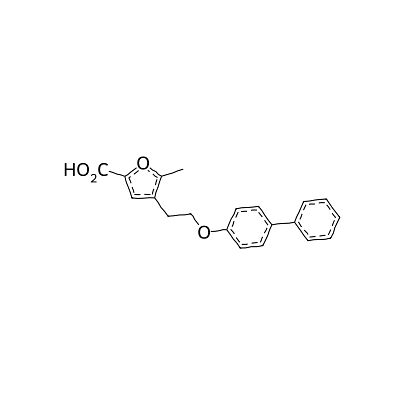 Cc1oc(C(=O)O)cc1CCOc1ccc(-c2ccccc2)cc1